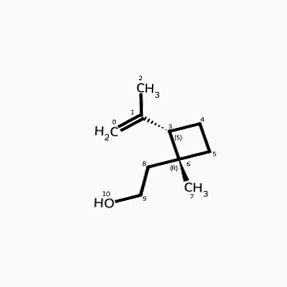 C=C(C)[C@@H]1CC[C@]1(C)CCO